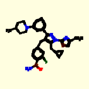 N[S+]([O-])c1ccc(Cc2c(-c3cccc(N4CCC(C(F)(F)F)CC4)c3)nn(-c3nc(C(=O)O)cs3)c2CC2CC2)cc1F